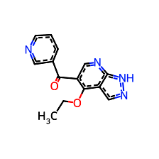 CCOc1c(C(=O)c2cccnc2)cnc2[nH]ncc12